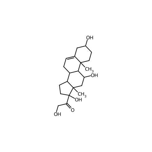 CC12CCC(O)CC1=CCC1C2C(O)CC2(C)C1CCC2(O)C(=O)CO